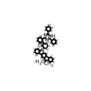 CC1(C)c2ccccc2-c2cc3c(cc21)c1ccccc1n3C1=c2oc3cccc(C4=NC(c5ccccc5)NC(c5ccccc5)=N4)c3c2=CCC1